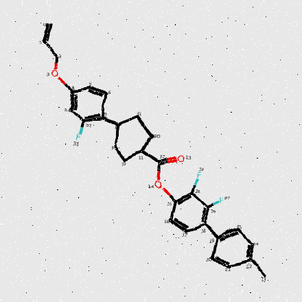 C=CCOc1ccc(C2CCC(C(=O)Oc3ccc(-c4ccc(C)cc4)c(F)c3F)CC2)c(F)c1